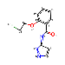 O=C(N=C1C=CN=N1)c1ccccc1OCCF